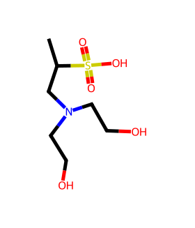 CC(CN(CCO)CCO)S(=O)(=O)O